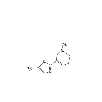 Cc1cnc(C2=CCCN(C)C2)s1